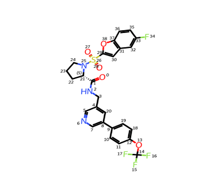 O=C(NCc1cncc(-c2ccc(OC(F)(F)F)cc2)c1)[C@@H]1CCCN1S(=O)(=O)c1cc2cc(F)ccc2o1